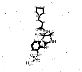 CS(=O)(=O)Nc1cccc2c1nc1n2C(NC(=O)CCC2CCCC2)(C(F)(F)F)C(=O)N1